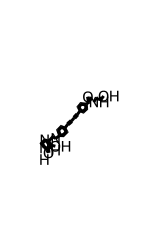 O=C(NCCO)c1ccc(C#CC#Cc2ccc(NCc3nc[nH]c(=O)c3O)cc2)cc1